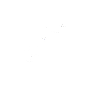 CCCCOC(=O)/C=C/c1ccc(O)c(F)c1